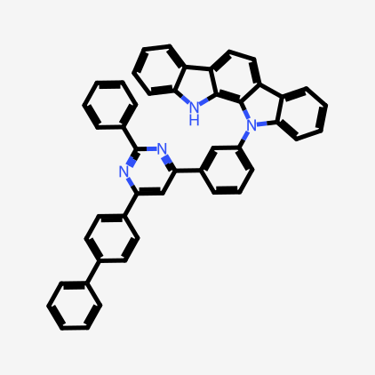 c1ccc(-c2ccc(-c3cc(-c4cccc(-n5c6ccccc6c6ccc7c8ccccc8[nH]c7c65)c4)nc(-c4ccccc4)n3)cc2)cc1